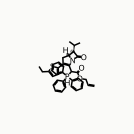 C=CCOC(=O)C(C1=C(c2ccc(CC)s2)C[C@@H]2[C@@H](C(C)C)C(=O)N12)[PH](c1ccccc1)(c1ccccc1)c1ccccc1